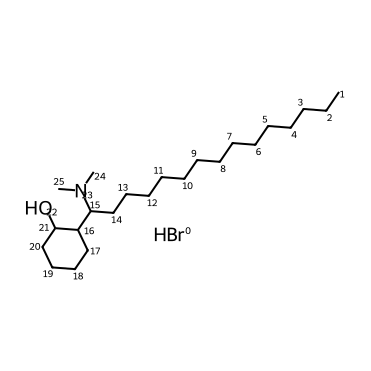 Br.CCCCCCCCCCCCCCC(C1CCCCC1O)N(C)C